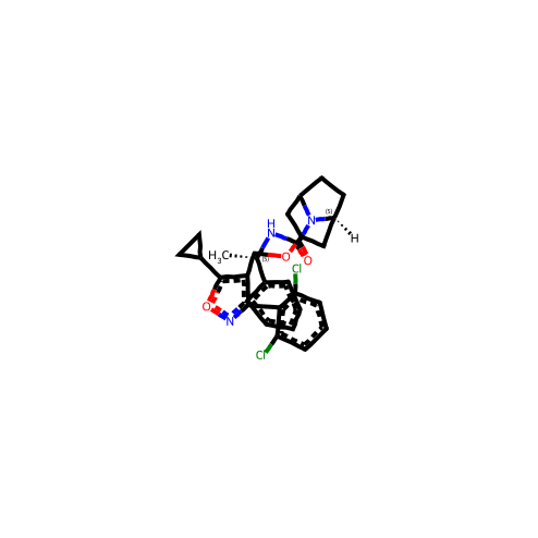 C[C@H](NC(=O)N1C2CC[C@H]1CC(OCc1c(-c3c(Cl)cccc3Cl)noc1C1CC1)C2)c1ccccc1